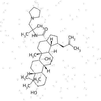 C=C(C)C[C@@H]1CC[C@]2(C(=O)NC(C)(C)CN3CCCC3)CC[C@]3(C)[C@H](CC[C@@H]4[C@@]5(C)CC[C@H](O)C(C)(C)[C@@H]5CC[C@]43C)[C@@H]12